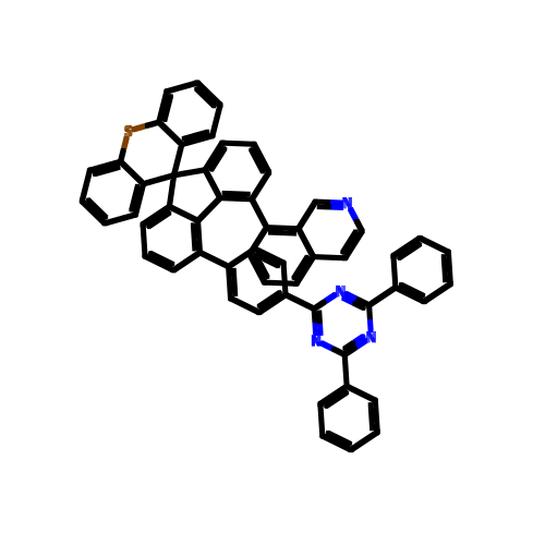 c1ccc(-c2nc(-c3ccccc3)nc(-c3ccc(-c4cccc5c4-c4c(-c6cccc7ccncc67)cccc4C54c5ccccc5Sc5ccccc54)cc3)n2)cc1